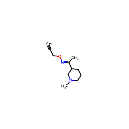 C#CCON=C(C)C1CCCN(C)C1